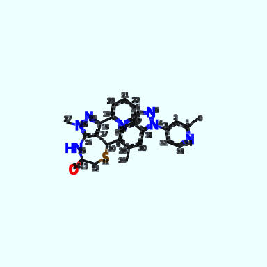 Cc1cc(-n2ncc3cc(C4SCC(=O)Nc5c4c(-c4ccccn4)nn5C)c(C)cc32)ccn1